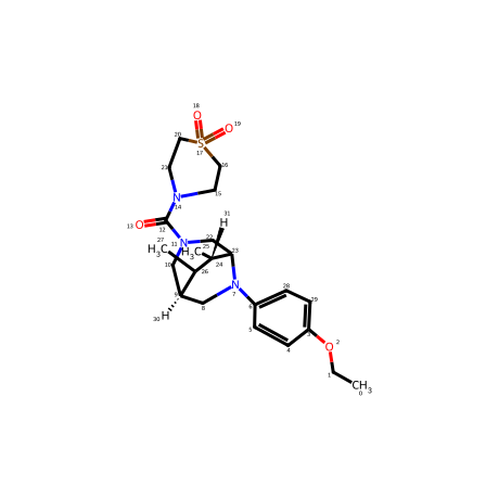 CCOc1ccc(N2C[C@H]3CN(C(=O)N4CCS(=O)(=O)CC4)CC2[C@@H](C)C3C)cc1